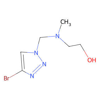 CN(CCO)Cn1cc(Br)nn1